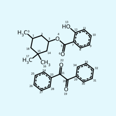 CC1CC(OC(=O)c2ccccc2O)CC(C)(C)C1.O=C(C(=O)c1ccccc1)c1ccccc1